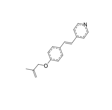 C=C(C)COc1ccc(/C=C/c2ccncc2)cc1